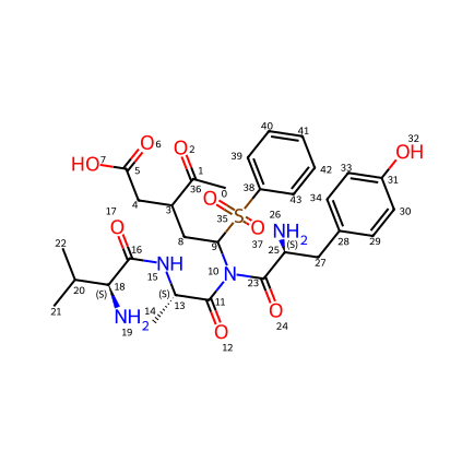 CC(=O)C(CC(=O)O)CC(N(C(=O)[C@H](C)NC(=O)[C@@H](N)C(C)C)C(=O)[C@@H](N)Cc1ccc(O)cc1)S(=O)(=O)c1ccccc1